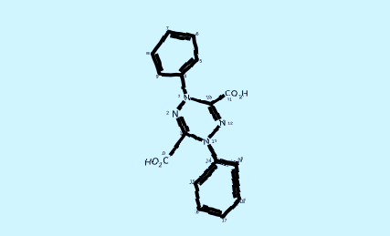 O=C(O)C1=NN(c2ccccc2)C(C(=O)O)=NN1c1ccccc1